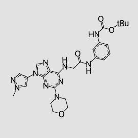 Cn1cc(-n2cnc3c(NCC(=O)Nc4cccc(NC(=O)OC(C)(C)C)c4)nc(N4CCOCC4)nc32)cn1